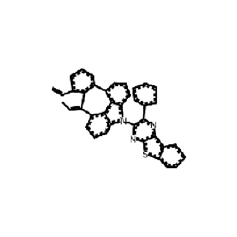 C=Cc1cccc2c1/C(=C\C)c1cccc3c1c1c-2cccc1n3-c1nc2sc3ccccc3c2nc1-c1ccccc1